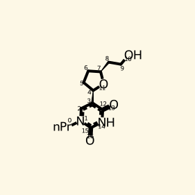 CCCn1cc([C@H]2CC[C@@H](CCO)O2)c(=O)[nH]c1=O